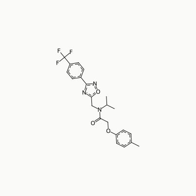 Cc1ccc(OCC(=O)N(Cc2nc(-c3ccc(C(F)(F)F)cc3)no2)C(C)C)cc1